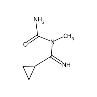 CN(C(=N)C1CC1)C(N)=O